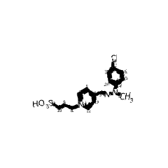 CN(N=Cc1cc[n+](CCCS(=O)(=O)O)cc1)c1ccc(Cl)cc1